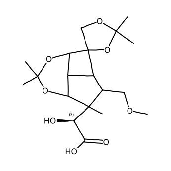 COCC1C2C3C(OC(C)(C)OC3C1(C)[C@H](O)C(=O)O)C21COC(C)(C)O1